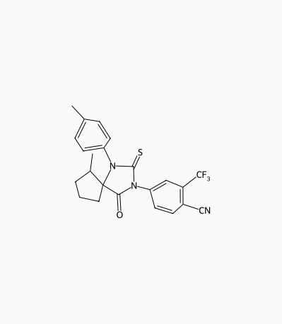 Cc1ccc(N2C(=S)N(c3ccc(C#N)c(C(F)(F)F)c3)C(=O)C23CCCC3C)cc1